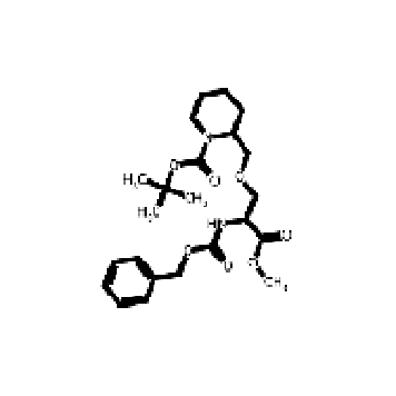 COC(=O)C(COCC1CCCCN1C(=O)OC(C)(C)C)NC(=O)OCc1ccccc1